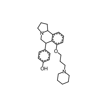 Oc1ccc(C2CN3CCCC3c3cccc(OCCCN4CCCCC4)c32)cc1